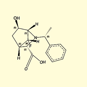 C[C@H](c1ccccc1)N1[C@@H]2[C@H](F)[C@@H](C[C@H]2O)[C@H]1C(=O)O